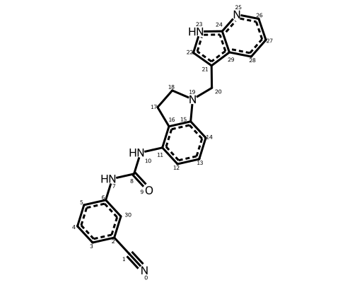 N#Cc1cccc(NC(=O)Nc2cccc3c2CCN3Cc2c[nH]c3ncccc23)c1